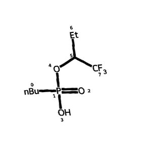 CCCCP(=O)(O)OC(CC)C(F)(F)F